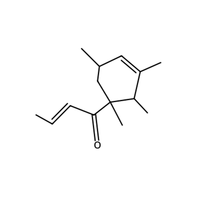 CC=CC(=O)C1(C)CC(C)C=C(C)C1C